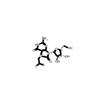 Nc1nc2c(c(=O)[nH]1)n(CC(F)F)c(=O)n2[C@@H]1O[C@H](CO)[C@H](O)[C@H]1O